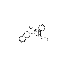 CNCC(c1ccc2ccccc2c1)[C@H](Cl)c1ccccc1